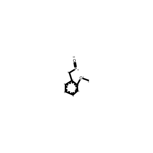 COc1ccccc1CP=O